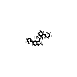 c1ccc(-c2ccc3[nH]nc(-c4nc5c(-c6ccccn6)nccc5[nH]4)c3c2)nc1